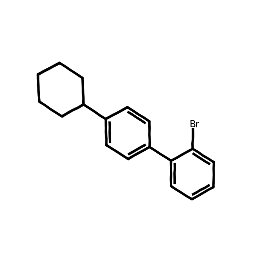 Brc1ccccc1-c1ccc(C2CCCCC2)cc1